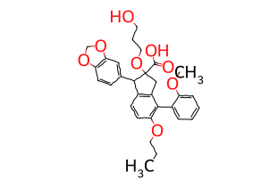 CCCOc1ccc2c(c1-c1ccccc1OC)CC(OCCCO)(C(=O)O)C2c1ccc2c(c1)OCO2